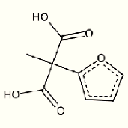 CC(C(=O)O)(C(=O)O)c1ccco1